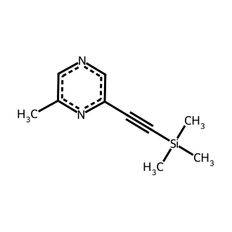 Cc1cncc(C#C[Si](C)(C)C)n1